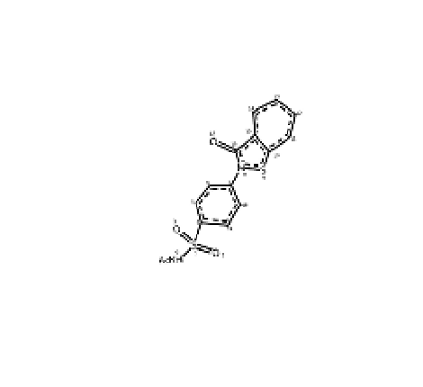 CC(=O)NS(=O)(=O)c1ccc(-n2sc3ccccc3c2=O)cc1